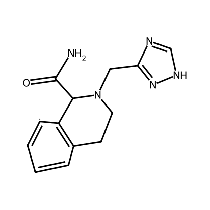 NC(=O)C1c2[c]cccc2CCN1Cc1nc[nH]n1